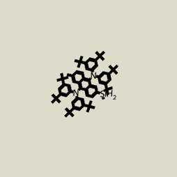 C[SiH2]c1ccc2c(N(c3cc(C(C)(C)C)cc(C(C)(C)C)c3)c3cc(C(C)(C)C)cc(C(C)(C)C)c3)c3cc(C)ccc3c(N(c3cc(C(C)(C)C)cc(C(C)(C)C)c3)c3cc(C(C)(C)C)cc(C(C)(C)C)c3)c2c1